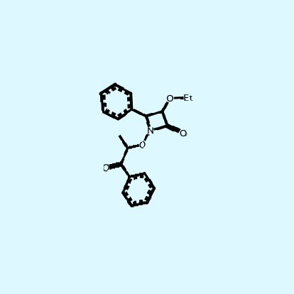 CCOC1C(=O)N(OC(C)C(=O)c2ccccc2)C1c1ccccc1